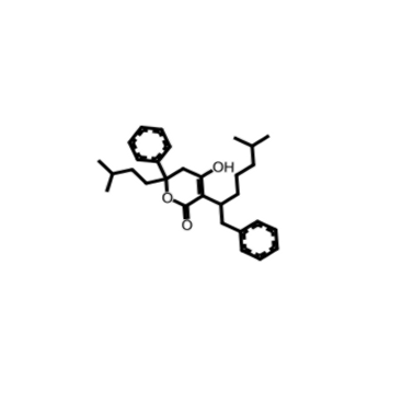 CC(C)CCCC(Cc1ccccc1)C1=C(O)CC(CCC(C)C)(c2ccccc2)OC1=O